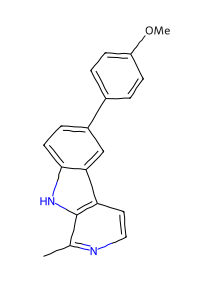 COc1ccc(-c2ccc3[nH]c4c(C)nccc4c3c2)cc1